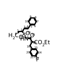 C=CC(C=Cc1ccccc1)S(=O)(=O)NC(=O)C(Cc1ccc(F)cc1)C(=O)OCC